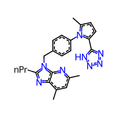 CCCc1nc2c(C)cc(C)nc2n1Cc1ccc(-n2c(C)ccc2-c2nnn[nH]2)cc1